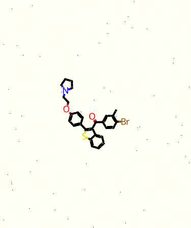 Cc1cc(C(=O)c2c(-c3ccc(OCCN4CCCC4)cc3)sc3ccccc23)ccc1Br